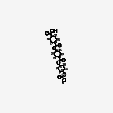 COC(=O)OC1CCC(OC(=O)C2CCC(OC(=O)C3CCC(C(=O)O)CC3)CC2)CC1